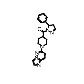 O=C(C1CCN(c2ccc3nccn3n2)CC1)N1N=CCC1c1ccccc1